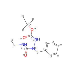 CCNC(=O)N(Cc1ccccc1)NC(=O)OC(C)(C)C